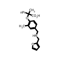 CCCC(C)(Oc1ccc(CNCc2ccco2)cc1C)C(=O)O